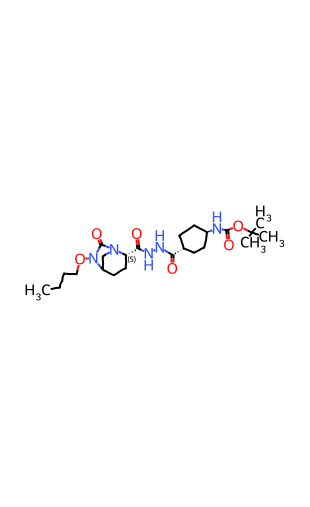 CCCCON1C(=O)N2CC1CC[C@H]2C(=O)NNC(=O)[C@H]1CC[C@H](NC(=O)OC(C)(C)C)CC1